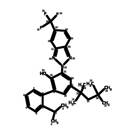 CC(C)c1ccccc1-c1cc(C(C)(C)CC(C)(C)C)cc(-n2nc3ccc(C(F)(F)F)cc3n2)c1O